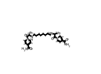 CC(C)C(NCCCCCCCCNC(C(=O)N1C=CC(C(N)=O)=CC1)C(C)C)C(=O)N1C=CC(C(N)=O)=CC1